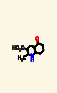 CC1=C(C(=O)O)CC2=C(CCCC2=O)N1